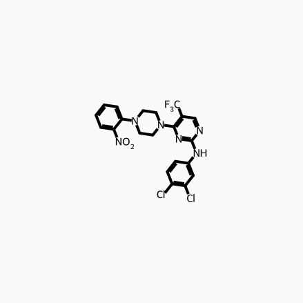 O=[N+]([O-])c1ccccc1N1CCN(c2nc(Nc3ccc(Cl)c(Cl)c3)ncc2C(F)(F)F)CC1